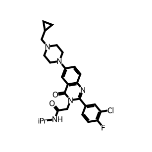 CC(C)NC(=O)Cn1c(-c2ccc(F)c(Cl)c2)nc2ccc(N3CCN(CC4CC4)CC3)cc2c1=O